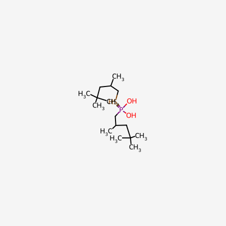 CC(C[SH]=P(O)(O)CC(C)CC(C)(C)C)CC(C)(C)C